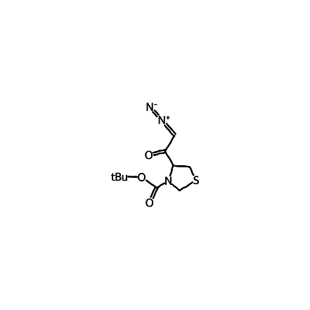 CC(C)(C)OC(=O)N1CSCC1C(=O)C=[N+]=[N-]